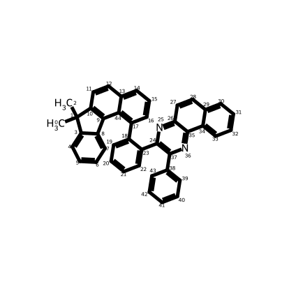 CC1(C)c2ccccc2-c2c1ccc1cccc(-c3ccccc3-c3nc4ccc5ccccc5c4nc3-c3ccccc3)c21